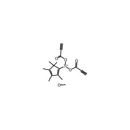 C#CC(=O)[O][Ti+]([O]C(=O)C#C)[C]1=C(C)C(C)=C(C)C1(C)C.C[O-]